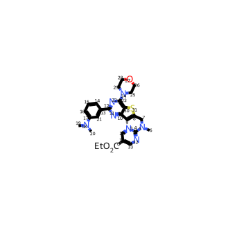 CCOC(=O)c1cnc(N(C)Cc2cc3nc(-c4cccc(N(C)C)c4)nc(N4CCOCC4)c3s2)nc1